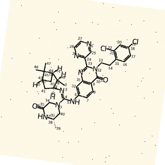 C[C@@H]1[C@@H](N=C(Nc2ccc3c(=O)n(CCc4ccc(Cl)cc4Cl)c(-c4cnccn4)nc3c2)N2CC(=O)N[C@@H](C)C2)C[C@H]2C[C@@H]1C2(C)C